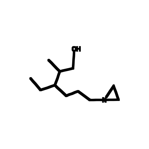 CCC(CCCN1CC1)C(C)CO